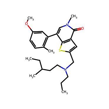 CCCN(CCC(C)CC)Cc1cc2c(=O)n(C)cc(-c3cc(OC)ccc3C)c2s1